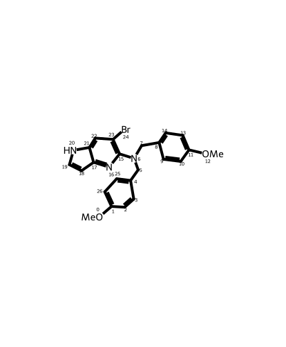 COc1ccc(CN(Cc2ccc(OC)cc2)c2nc3cc[nH]c3cc2Br)cc1